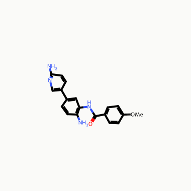 COc1ccc(C(=O)Nc2cc(-c3ccc(N)nc3)ccc2N)cc1